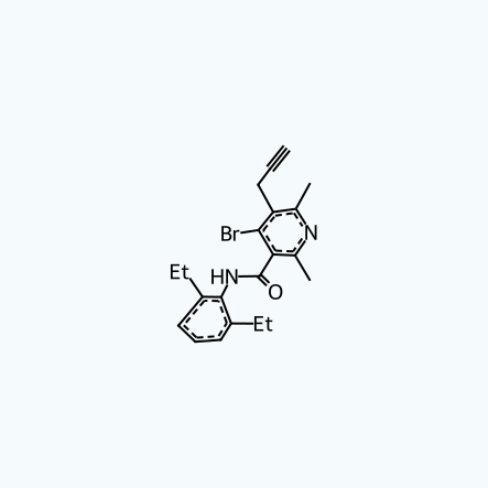 C#CCc1c(C)nc(C)c(C(=O)Nc2c(CC)cccc2CC)c1Br